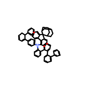 C1=CCC(c2ccccc2)C(c2ccc(N(c3ccccc3-c3ccccc3-c3ccccc3-c3ccccc3)c3cccc4c3-c3ccccc3C43C4CCC5CCC3CC5C4)cc2)=C1